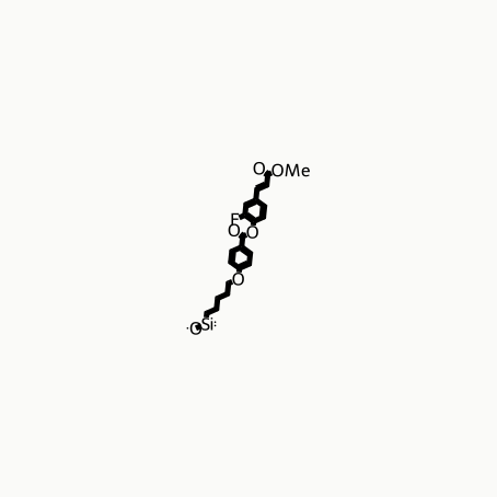 COC(=O)/C=C/c1ccc(OC(=O)c2ccc(OCCCCC[Si][O])cc2)c(F)c1